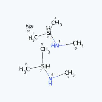 CN[SiH](C)C.CN[SiH](C)C.[Na]